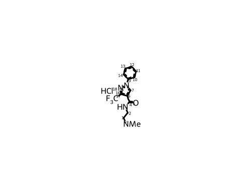 CNCCNC(=O)c1cn(-c2ccccc2)nc1C(F)(F)F.Cl